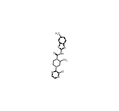 Cc1ccc2nc(NC(=O)N3CCN(c4nccnc4Cl)CC3C)sc2c1